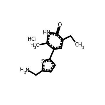 CCc1cc(-c2ccc(CN)s2)c(C)[nH]c1=O.Cl